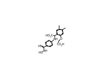 Cc1cc(OCC(=O)O)c(C(Nc2ccc(C(=N)NO)cc2)C(=O)O)cc1C